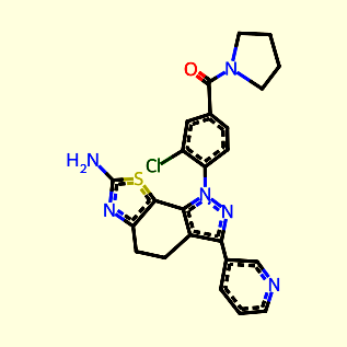 Nc1nc2c(s1)-c1c(c(-c3cccnc3)nn1-c1ccc(C(=O)N3CCCC3)cc1Cl)CC2